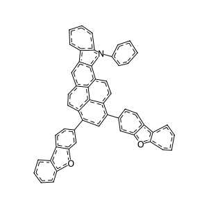 c1ccc(-n2c3ccccc3c3cc4ccc5c(-c6ccc7c(c6)oc6ccccc67)cc(-c6ccc7c(c6)oc6ccccc67)c6ccc(c4c56)c32)cc1